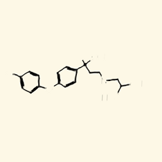 CC(C)CNCCC(C)(O)c1ccc(Oc2ccc(Cl)cc2)cc1